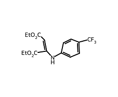 CCOC(=O)C=C(Nc1ccc(C(F)(F)F)cc1)C(=O)OCC